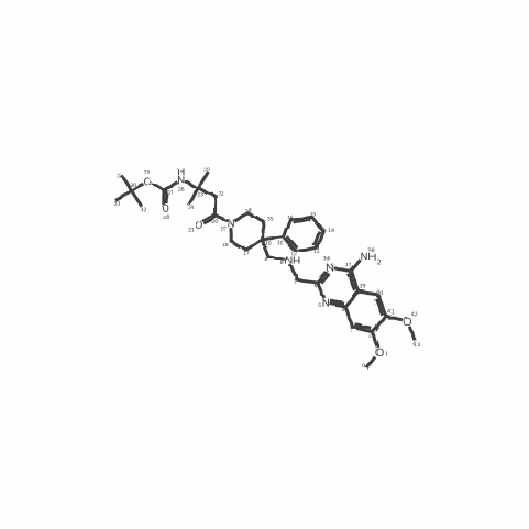 COc1cc2nc(CNCC3(c4ccccc4)CCN(C(=O)CC(C)(C)NC(=O)OC(C)(C)C)CC3)nc(N)c2cc1OC